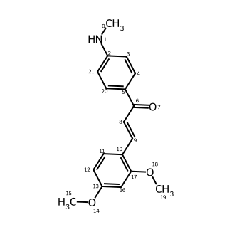 CNc1ccc(C(=O)/C=C/c2ccc(OC)cc2OC)cc1